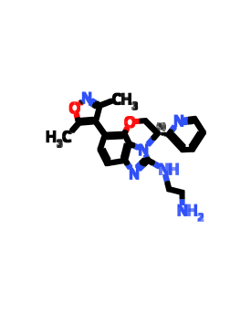 Cc1noc(C)c1-c1ccc2nc(NCCN)n3c2c1OC[C@@H]3c1ccccn1